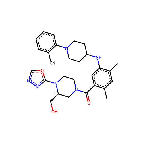 Cc1cc(C)c(C(=O)N2CCN(c3nnco3)[C@H](CO)C2)cc1NC1CCN(c2ccccc2C#N)CC1